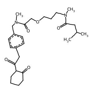 CC(C)CC(=O)N(C)CCCOCC(=O)N(C)Cc1ccc(CC(=O)C2CCCCC2=O)cc1